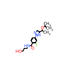 C=C(C)OC(C)c1cnn(-c2ccc(C(=O)NCCCO)c(F)c2)n1